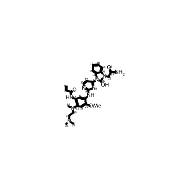 C=CC(=O)Nc1cc(Nc2nccc(N3c4ccccc4N(CC(N)=O)C3O)n2)c(OC)cc1N(C)CCN(C)C